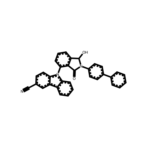 N#Cc1ccc2c(c1)c1ccccc1n2-c1cccc2c1C(=O)N(c1ccc(-c3ccccc3)cc1)C2O